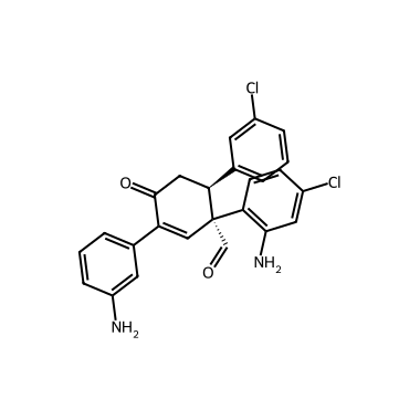 Nc1cccc(C2=C[C@](C=O)(c3ccc(Cl)cc3N)[C@H](c3cccc(Cl)c3)CC2=O)c1